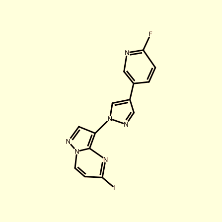 Fc1ccc(-c2cnn(-c3cnn4ccc(I)nc34)c2)cn1